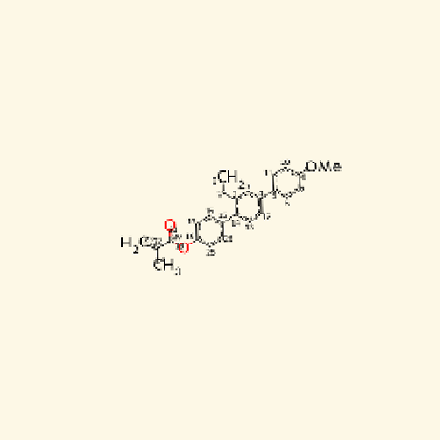 C=Cc1cc(-c2ccc(OC)cc2)ccc1-c1ccc(OC(=O)C(=C)C)cc1